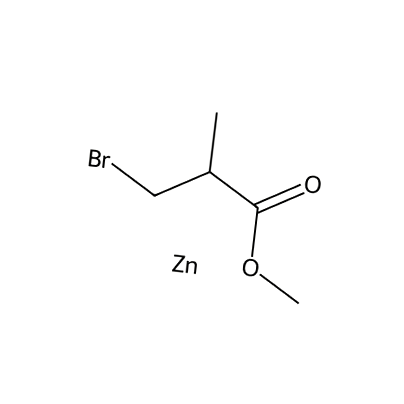 COC(=O)C(C)CBr.[Zn]